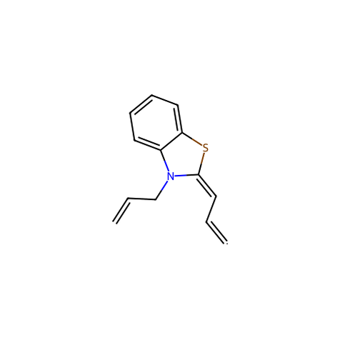 [CH]=CC=C1Sc2ccccc2N1CC=C